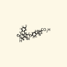 C=C1NC(=O)N(Cc2ccc(C)cc2)c2nc(COc3ccc(C4NC(C(=O)O)CS4)cc3)n(CC)c21